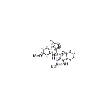 CCN/C=C(\C(=N)C1CCCCC1)C(=O)C(Nc1cccc(OC)c1)c1cc(C)on1